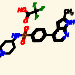 Cc1cc2c(-c3ccc(S(=O)(=O)NC4CCN(C)CC4)cc3)ccnc2[nH]1.O=C(O)C(F)(F)F